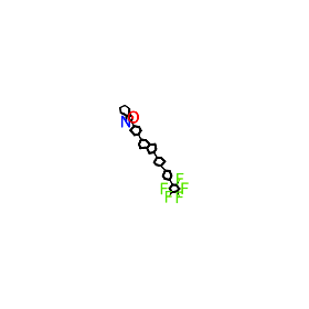 Fc1c(F)c(F)c(-c2ccc(-c3ccc(-c4ccc5cc(-c6ccc(-c7nc8c(o7)=CCCC=8)cc6)ccc5c4)cc3)cc2)c(F)c1F